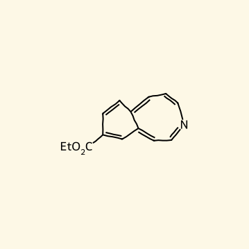 CCOC(=O)c1ccc2/c(c1)=C\C=N/C=C\C=2